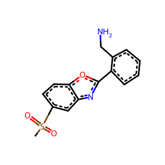 CS(=O)(=O)c1ccc2oc(-c3ccccc3CN)nc2c1